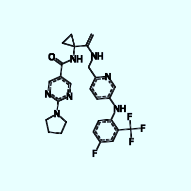 C=C(NCc1ccc(Nc2ccc(F)cc2C(F)(F)F)cn1)C1(NC(=O)c2cnc(N3CCCC3)nc2)CC1